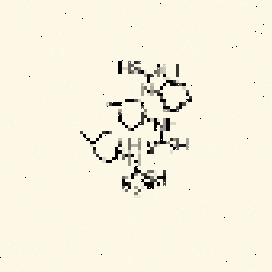 CC1CCN(NC(=S)S)CC1.CC1CCN(NC(=S)S)CC1.Sc1nc2ccccc2[nH]1.[SeH2]